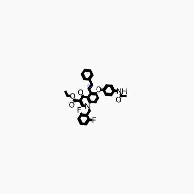 CCOC(=O)c1cn(Cc2c(F)cccc2F)c2ccc(Oc3ccc(NC(C)=O)cc3)c(/C=C/c3ccccc3)c2c1=O